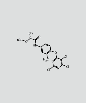 CCCCON(CCC)C(=O)Nc1ccc(Oc2nc(Cl)nc(Cl)c2Cl)c(C)c1